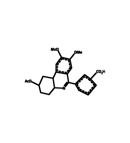 COc1cc2c(cc1OC)C1CC(OC(C)=O)CCC1N=C2c1cccc(C(=O)O)c1